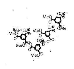 COC(=O)c1cc(C(=O)OC)cc(S(=O)(=O)[O-])c1.COC(=O)c1cc(C(=O)OC)cc(S(=O)(=O)[O-])c1.COC(=O)c1cc(C(=O)OC)cc(S(=O)(=O)[O-])c1.COC(=O)c1cc(C(=O)OC)cc(S(=O)(=O)[O-])c1.[Ba+2].[Ba+2]